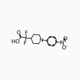 O=C(O)C(F)(F)C1CCN(c2ccc([N+](=O)[O-])cc2)CC1